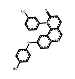 CC(C)(C)c1ccc(Nc2ccc3ncc4ccc(=O)n(-c5cccc(C(F)(F)F)c5)c4c3c2)cc1